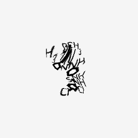 CN(C)c1nc(N[C@H]2CC[C@@H](NC(=S)Nc3ccc(Cl)cc3Cl)CC2)nc2c1CCCC2